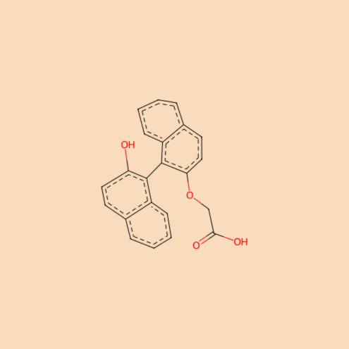 O=C(O)COc1ccc2ccccc2c1-c1c(O)ccc2ccccc12